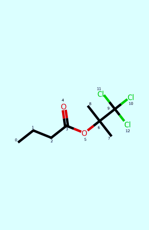 CCCC(=O)OC(C)(C)C(Cl)(Cl)Cl